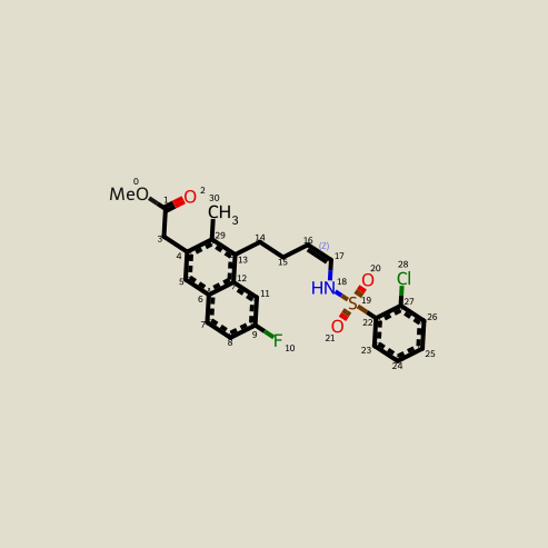 COC(=O)Cc1cc2ccc(F)cc2c(CC/C=C\NS(=O)(=O)c2ccccc2Cl)c1C